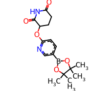 CC1(C)OB(c2ccc(OC3CCC(=O)NC3=O)nc2)OC1(C)C